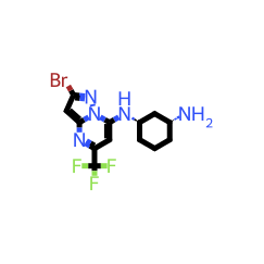 N[C@@H]1CCC[C@H](Nc2cc(C(F)(F)F)nc3cc(Br)nn23)C1